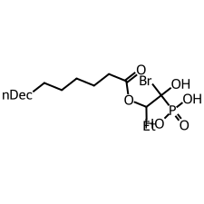 CCCCCCCCCCCCCCCC(=O)OC(CC)C(O)(Br)P(=O)(O)O